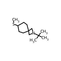 CSC1CCC2(CC1)CN(C(C)(C)C)C2